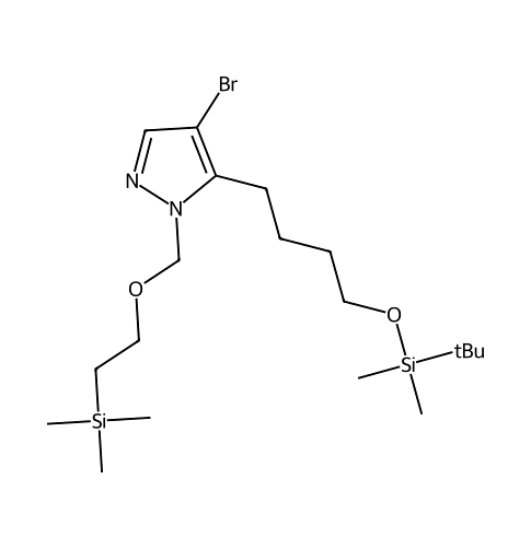 CC(C)(C)[Si](C)(C)OCCCCc1c(Br)cnn1COCC[Si](C)(C)C